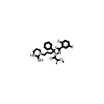 CO[C@@H](C)C(=O)N1N=C(c2cc(F)ccc2F)SC1(CCCN1CCCNC1=N)c1ccccc1